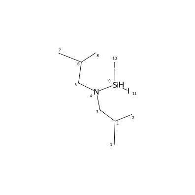 CC(C)CN(CC(C)C)[SiH](I)I